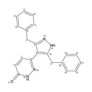 O=c1ccc(-c2c(Cc3ccccc3)n[nH]c2Cc2ccccc2)n[nH]1